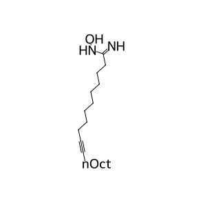 CCCCCCCCC#CCCCCCCCCC(=N)NO